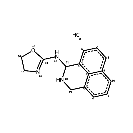 Cl.c1cc2c3c(cccc3c1)C(NC1=NCCO1)NC2